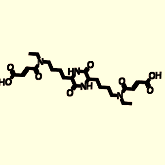 CCN(CCCCC1NC(=O)C(CCCCN(CC)C(=O)C=CC(=O)O)NC1=O)C(=O)C=CC(=O)O